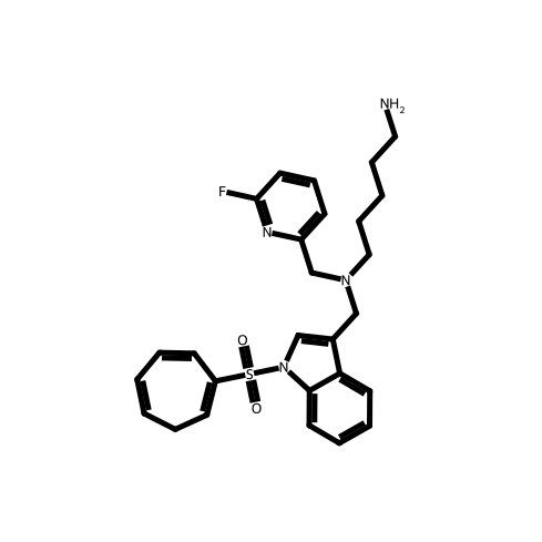 NCCCCCN(Cc1cccc(F)n1)Cc1cn(S(=O)(=O)C2=CCC=CC=C2)c2ccccc12